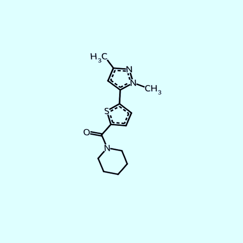 Cc1cc(-c2ccc(C(=O)N3CCCCC3)s2)n(C)n1